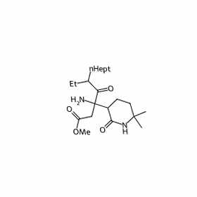 CCCCCCCC(CC)C(=O)C(N)(CC(=O)OC)C1CCC(C)(C)NC1=O